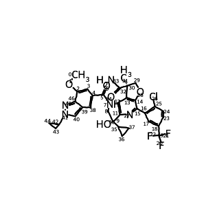 COc1cc(C(=O)NC[C@](O)(c2cc3c(c(-c4cc(C(F)(F)F)ccc4Cl)n2)OC[C@]3(C)C(N)=O)C2CC2)cc2cn(C3CC3)nc12